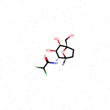 O=C(N[C@@H]1[C@@H](O)[C@@H](O)[C@]2(CO)CC[C@H]1O2)C(F)F